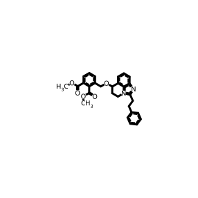 COC(=O)c1cccc(COC2CCn3c(CCc4ccccc4)nc4cccc2c43)c1C(=O)OC